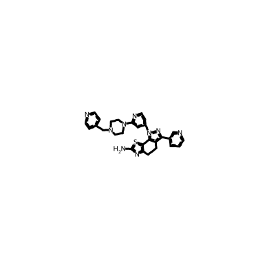 Nc1nc2c(s1)-c1c(c(-c3cccnc3)nn1-c1ccnc(N3CCN(Cc4ccncc4)CC3)c1)CC2